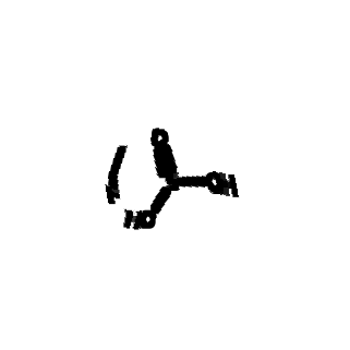 CF.O=S(O)O